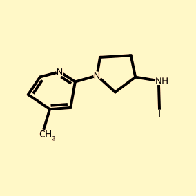 Cc1ccnc(N2CCC(NI)C2)c1